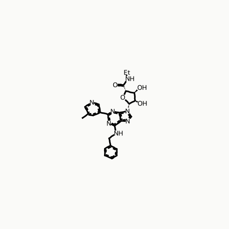 CCNC(=O)[C@H]1O[C@@H](n2cnc3c(NCc4ccccc4)nc(-c4cncc(C)c4)nc32)[C@H](O)[C@@H]1O